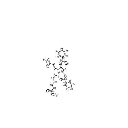 CC(=O)/C=C/[C@@H]1[C@@H](C/C=C\CCCC(=O)O)[C@@H](OC(=O)c2ccccc2)C[C@H]1OC(=O)c1ccccc1